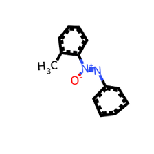 Cc1ccccc1[N+]([O-])=Nc1ccccc1